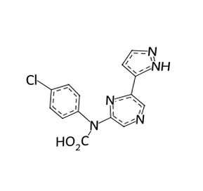 O=C(O)N(c1ccc(Cl)cc1)c1cncc(-c2ccn[nH]2)n1